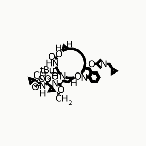 C=C[C@@H]1C[C@]1(NC(=O)[C@@H]1C[C@@H]2CN1C(=O)[C@H](C(C)(C)C)NC(=O)O[C@@H]1C[C@H]1CCCCCc1c(nc3ccccc3c1OC1CN(CC3CC3)C1)O2)C(=O)NS(=O)(=O)C1(C)CC1